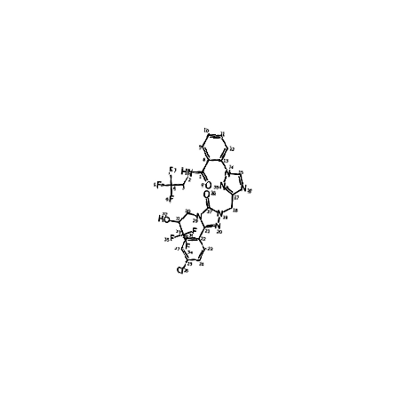 O=C(NCC(F)(F)F)c1ccccc1-n1cnc(Cn2nc(-c3ccc(Cl)cc3)n(CC(O)C(F)(F)F)c2=O)n1